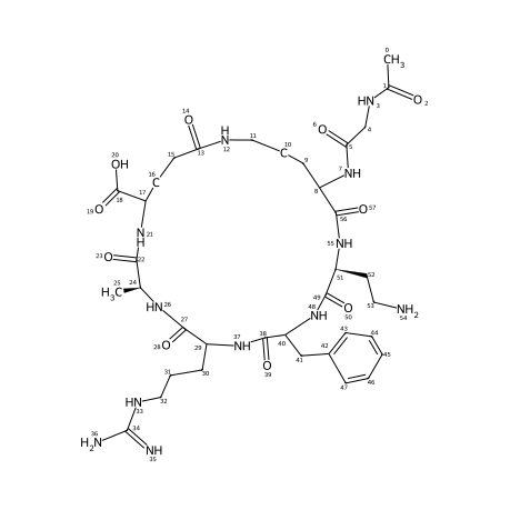 CC(=O)NCC(=O)NC1CCCNC(=O)CCC(C(=O)O)NC(=O)[C@H](C)NC(=O)C(CCCNC(=N)N)NC(=O)C(Cc2ccccc2)NC(=O)[C@H](CCN)NC1=O